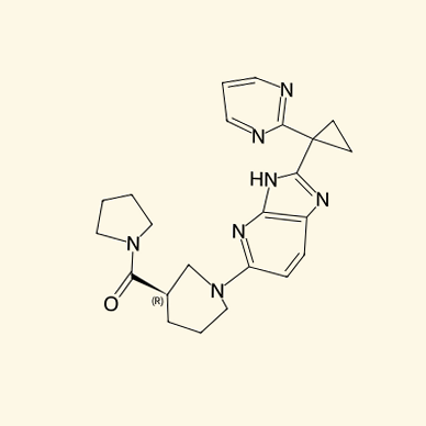 O=C([C@@H]1CCCN(c2ccc3nc(C4(c5ncccn5)CC4)[nH]c3n2)C1)N1CCCC1